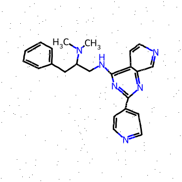 CN(C)C(CNc1nc(-c2ccncc2)nc2cnccc12)Cc1ccccc1